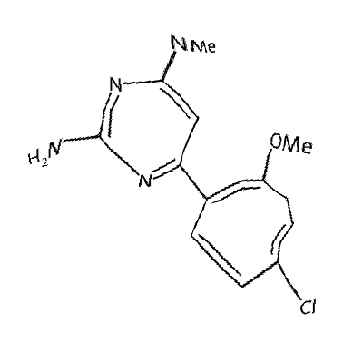 CNc1cc(-c2ccc(Cl)cc2OC)nc(N)n1